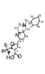 O=C(O)c1cc(-c2ccc3c(n2)CCN(Cc2ccccc2)C3)oc1C(F)(F)F